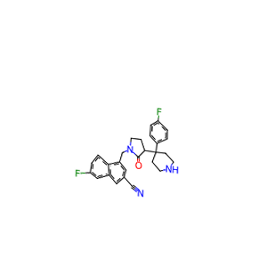 N#Cc1cc(CN2CCC(C3(c4ccc(F)cc4)CCNCC3)C2=O)c2ccc(F)cc2c1